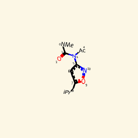 CNC(=O)N(C(C)=O)c1cc(C(C)C)on1